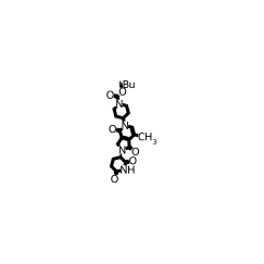 Cc1cn(C2CCN(C(=O)OC(C)(C)C)CC2)c(=O)c2c1C(=O)N([C@@H]1CCC(=O)NC1=O)C2